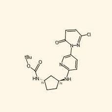 CC(C)(C)OC(=O)N[C@H]1CC[C@H](Nc2ccc(-n3nc(Cl)ccc3=O)cn2)C1